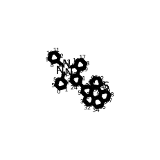 c1ccc(-c2nc(-c3ccccc3)nc(-c3ccccc3-c3cccc(-c4ccc5c(ccc6ccc7ccc8sc9ccccc9c8c7c65)c4)c3)n2)cc1